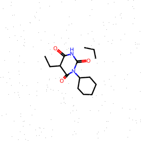 CCC.CCC1C(=O)NC(=O)N(C2CCCCC2)C1=O